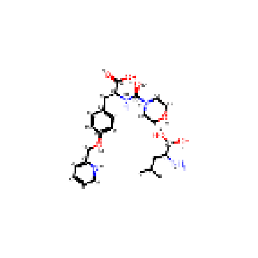 CC(C)C[C@H](N)B(O)O.O=C(O)[C@H](Cc1ccc(OCc2ccccn2)cc1)NC(=O)N1CCOCC1